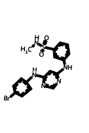 CNS(=O)(=O)c1cccc(Nc2cc(Nc3ccc(Br)cc3)ncn2)c1